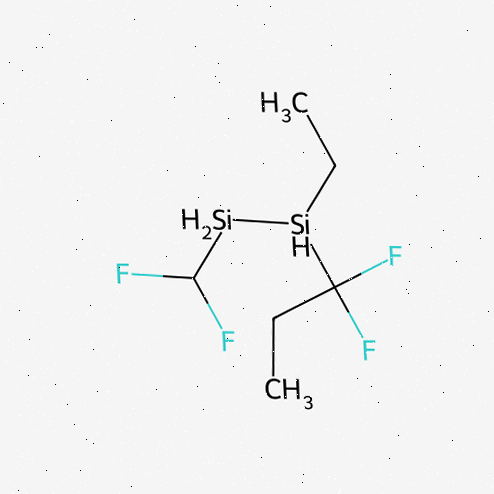 CC[SiH]([SiH2]C(F)F)C(F)(F)CC